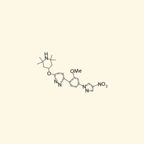 COc1cc(-n2cc([N+](=O)[O-])cn2)ccc1-c1ccc(OC2CC(C)(C)NC(C)(C)C2)nn1